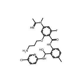 CC(=N)N(C)c1cc(F)c(C(=O)Nc2ccc(C)cc2C(O)Nc2ccc(Cl)cn2)c(OCCCN)c1